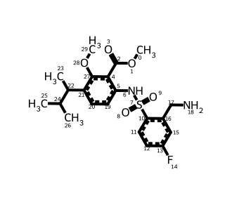 COC(=O)c1c(NS(=O)(=O)c2ccc(F)cc2CN)ccc(C(C)C(C)C)c1OC